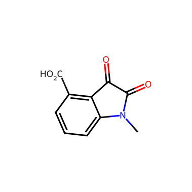 CN1C(=O)C(=O)c2c(C(=O)O)cccc21